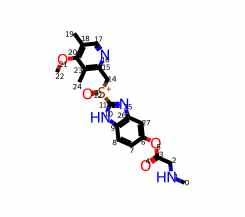 CNCC(=O)Oc1ccc2[nH]c([S+]([O-])Cc3ncc(C)c(OC)c3C)nc2c1